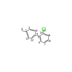 Cc1ccc(-c2cc[c]cc2Cl)cc1